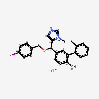 Cc1ccccc1-c1cc(C(OCc2ccc(I)cc2)c2cncn2C)ccc1C#N.Cl